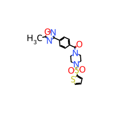 Cc1nc(-c2ccc(C(=O)N3CCN(S(=O)(=O)c4cccs4)CC3)cc2)no1